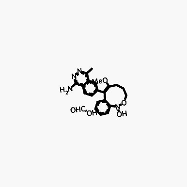 COC1=C(c2ccc3c(N)nnc(C)c3c2)c2ccccc2N(O)OCCC1.O=CO